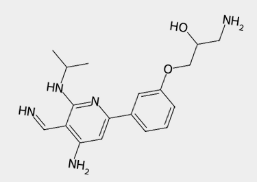 CC(C)Nc1nc(-c2cccc(OCC(O)CN)c2)cc(N)c1C=N